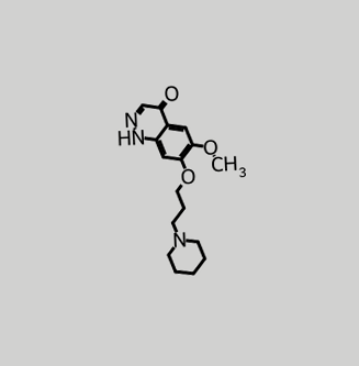 COc1cc2c(=O)cn[nH]c2cc1OCCCN1CCCCC1